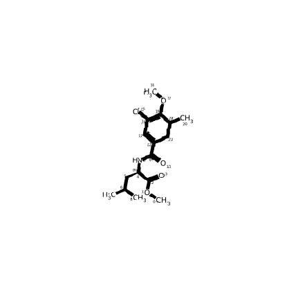 COC(=O)[C@@H](CC(C)C)NC(=O)C1=CC(Cl)=C(OC)C(C)C1